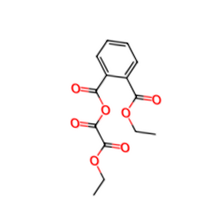 CCOC(=O)C(=O)OC(=O)c1ccccc1C(=O)OCC